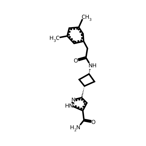 Cc1cc(C)cc(CC(=O)N[C@H]2C[C@@H](c3cc(C(N)=O)[nH]n3)C2)c1